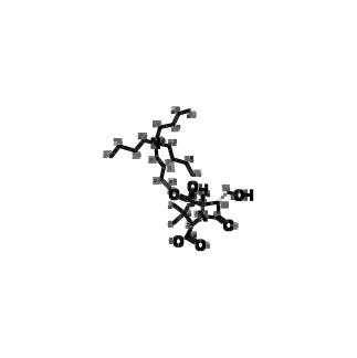 CC1(C)[C@H](C(=O)[O-])N2C(=O)[C@@H](CO)[C@H]2S1(=O)=O.CCCC[N+](CCCC)(CCCC)CCCC